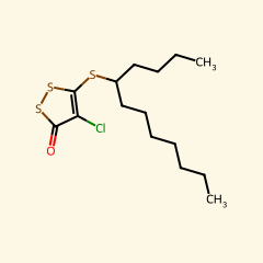 CCCCCCCC(CCCC)Sc1ssc(=O)c1Cl